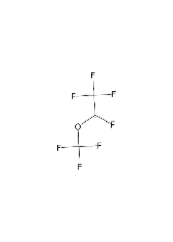 F[C](OC(F)(F)F)C(F)(F)F